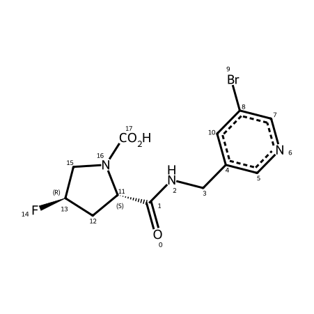 O=C(NCc1cncc(Br)c1)[C@@H]1C[C@@H](F)CN1C(=O)O